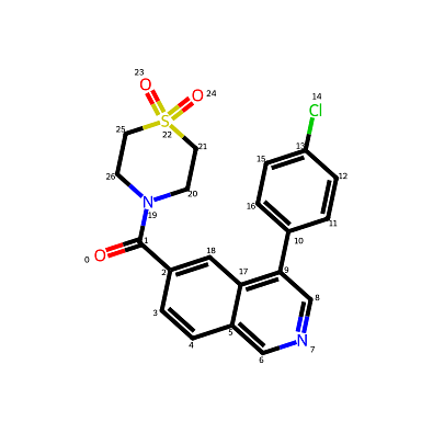 O=C(c1ccc2cncc(-c3ccc(Cl)cc3)c2c1)N1CCS(=O)(=O)CC1